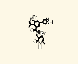 CCCc1cc(C)[nH]c(=O)c1CNC(=O)c1cc(C2C=NNC2)cc2c1c(C)cn2C(C)C